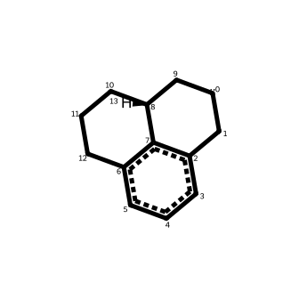 [C]1Cc2cccc3c2[C@@H](C1)CCC3